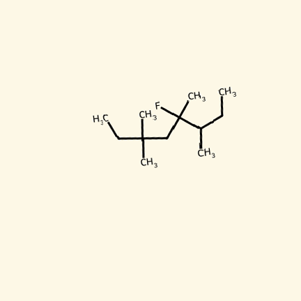 CCC(C)C(C)(F)CC(C)(C)CC